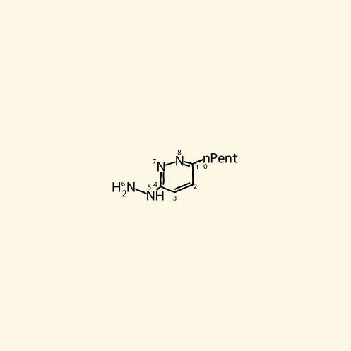 CCCCCc1ccc(NN)nn1